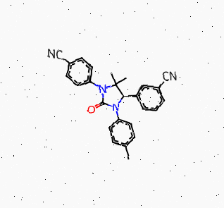 Cc1ccc(N2C(=O)N(c3ccc(C#N)cc3)C(C)(C)[C@H]2c2cccc(C#N)c2)cc1